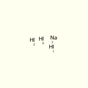 I.I.I.[Na]